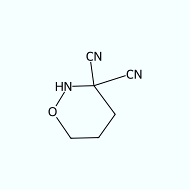 N#CC1(C#N)CCCON1